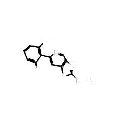 CC(=O)Nc1nc2cnc(-c3c(C)cccc3F)cc2s1